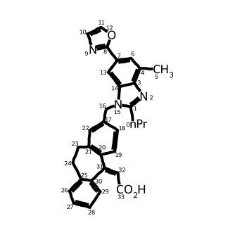 CCCc1nc2c(C)cc(-c3ncco3)cc2n1Cc1ccc2c(c1)CCc1ccccc1/C2=C\C(=O)O